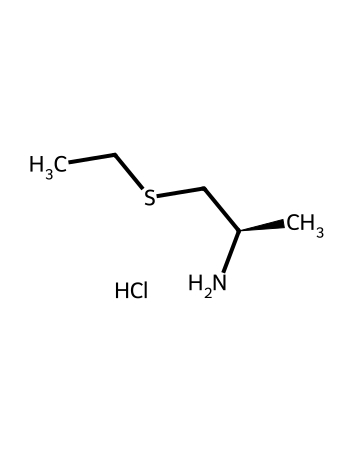 CCSC[C@@H](C)N.Cl